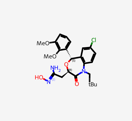 COc1cccc([C@H]2O[C@H](C/C(N)=N/O)C(=O)N(CC(C)(C)C)c3ccc(Cl)cc32)c1OC